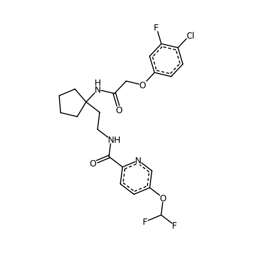 O=C(COc1ccc(Cl)c(F)c1)NC1(CCNC(=O)c2ccc(OC(F)F)cn2)CCCC1